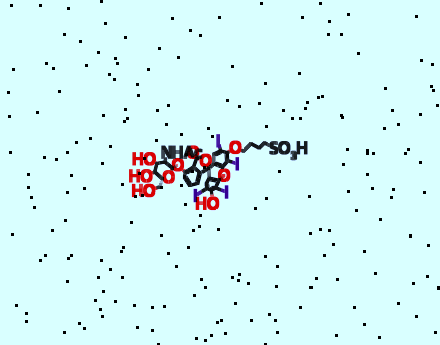 CC(=O)N[C@H]1[C@H](Oc2cccc3c2C(=O)OC32c3cc(I)c(O)c(I)c3Oc3c2cc(I)c(OCCCCS(=O)(=O)O)c3I)O[C@H](CO)[C@@H](O)[C@@H]1O